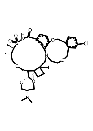 C[C@@H]1[C@@H](C)CCC[C@H]([C@H]2OC[C@@H](N(C)C)CO2)[C@@H]2CC[C@H]2CN2CCCCc3cc(Cl)ccc3COc3ccc(cc32)C(=O)NS1(=O)=O